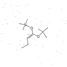 CC/C=C(\OC(C)(C)C)O[Si](C)(C)C